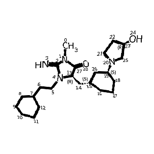 CN1C(=N)N(CCC2CCCCC2)[C@H](C[C@H]2CCC[C@H](N3CC[C@@H](O)C3)C2)C1=O